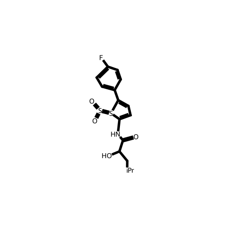 CC(C)CC(O)C(=O)NC1=CC=C(c2ccc(F)cc2)S1=S(=O)=O